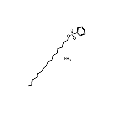 CCCCCCCCCCCCCCCCOS(=O)(=O)c1ccccc1.N